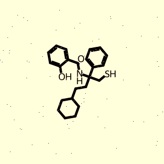 O=C(NC(CS)(CCC1CCCCC1)c1ccccc1)c1ccccc1O